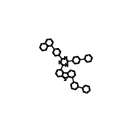 c1ccc(-c2ccc(-c3nc(-c4ccc(-c5cccc6ccccc56)cc4)nc(-c4cccc5sc6c(-c7cccc(-c8ccccc8)c7)cccc6c45)n3)cc2)cc1